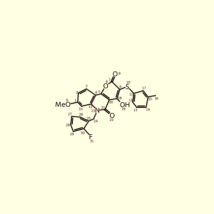 COc1ccc2c3oc(=O)c(Sc4cccc(C)c4)c(O)c3c(=O)n(Cc3ccccc3F)c2c1